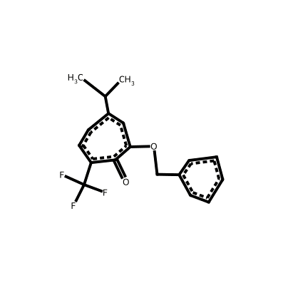 CC(C)c1ccc(C(F)(F)F)c(=O)c(OCc2ccccc2)c1